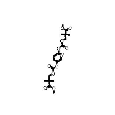 COC(=O)C(C)(C)COC(=O)Oc1ccc(OC(=O)OCC(C)(C)C(=O)OC)nc1